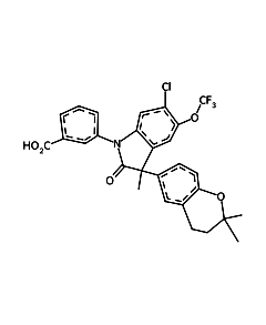 CC1(C)CCc2cc(C3(C)C(=O)N(c4cccc(C(=O)O)c4)c4cc(Cl)c(OC(F)(F)F)cc43)ccc2O1